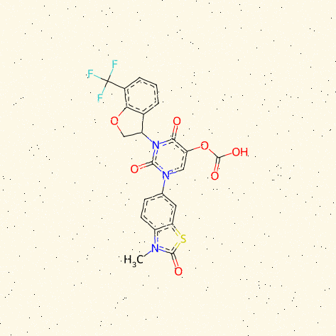 Cn1c(=O)sc2cc(-n3cc(OC(=O)O)c(=O)n(C4COc5c4cccc5C(F)(F)F)c3=O)ccc21